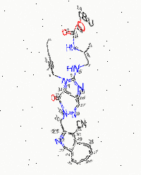 CC#CCn1c(NCC(C)NC(=O)OC(C)(C)C)nc2cnn(Cc3ncc4ccccc4c3C#N)c(=O)c21